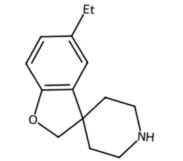 CCc1ccc2c(c1)C1(CCNCC1)CO2